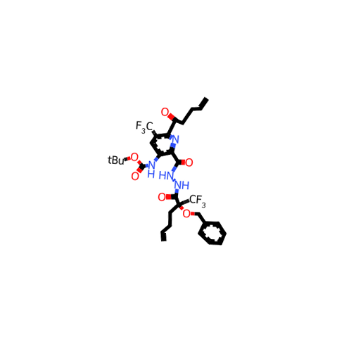 C=CCCC(=O)c1nc(C(=O)NNC(=O)C(CCC=C)(OCc2ccccc2)C(F)(F)F)c(NC(=O)OC(C)(C)C)cc1C(F)(F)F